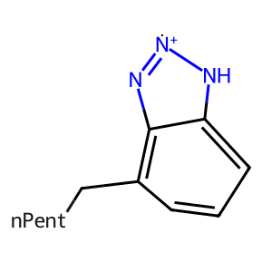 CCCCCCc1cccc2c1N=[N+]N2